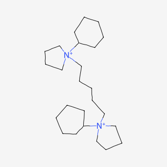 C1CCC([N+]2(CCCCC[N+]3(C4CCCCC4)CCCC3)CCCC2)CC1